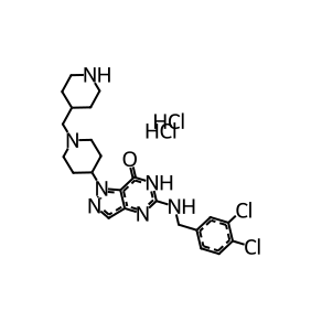 Cl.Cl.O=c1[nH]c(NCc2ccc(Cl)c(Cl)c2)nc2cnn(C3CCN(CC4CCNCC4)CC3)c12